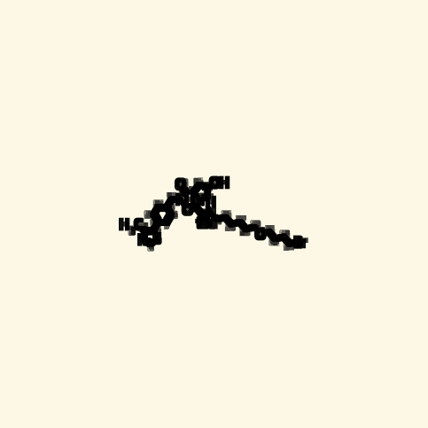 Cc1ncsc1-c1ccc(CNC(=O)[C@@H]2C[C@@H](O)CN2C(=O)[C@@H](NCCCCCCOCCCCBr)C(C)(C)C)cc1